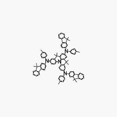 Cc1ccc(N(c2ccc3c(c2)C(C)(C)c2ccccc2-3)c2ccc3c(c2)C(C)(C)c2cc(N(c4ccc(C)cc4)c4ccc5c(c4)C(C)(C)c4ccccc4-5)cc4c2N3c2ccc(N(c3ccc(C)cc3)c3ccc5c(c3)C(C)(C)c3ccccc3-5)cc2C4(C)C)cc1